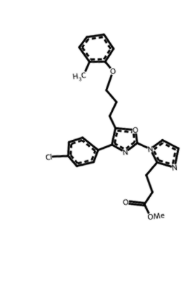 COC(=O)CCc1nccn1-c1nc(-c2ccc(Cl)cc2)c(CCCOc2ccccc2C)o1